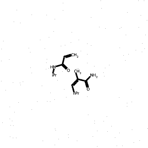 C=CC(=O)NC(C)C.CCCC=C(C)C(N)=O